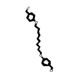 ClCc1ccc(OCCCCCCCCCCOc2ccc(CCl)cc2)cc1